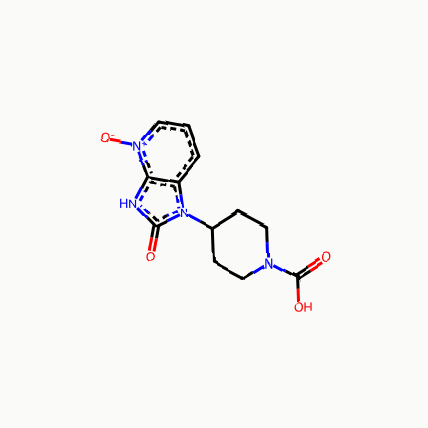 O=C(O)N1CCC(n2c(=O)[nH]c3c2ccc[n+]3[O-])CC1